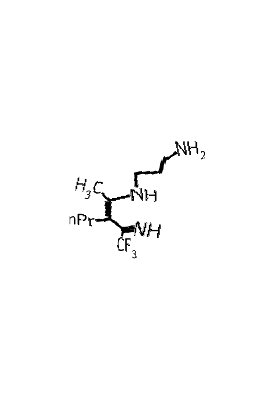 CCC/C(C(=N)C(F)(F)F)=C(\C)NCCCN